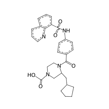 O=C(O)N1CCN(C(=O)c2ccc(NS(=O)(=O)c3cccc4cccnc34)cc2)C(CC2CCCC2)C1